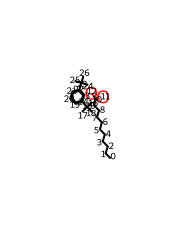 CCCCCCCCCCC(=O)Oc1c(C(C)(C)C)cccc1C(C)(C)C